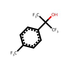 OC(c1ccc(C(F)(F)F)cc1)(C(F)(F)F)C(F)(F)F